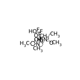 CCCCN(CCOC)c1c2c(nn1C)N(c1c(C)cc(C)cc1C)CCC2.O=C(O)C(F)(F)F